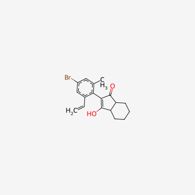 C=Cc1cc(Br)cc(C)c1C1=C(O)C2CCCCC2C1=O